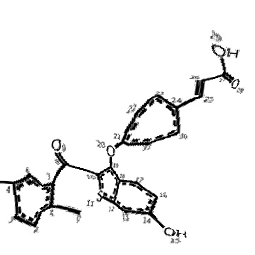 Cc1ccc(F)cc1C(=O)c1sc2cc(O)ccc2c1Oc1ccc(C=CC(=O)O)cc1